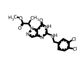 COC(=O)C(C)n1ncc2nc(NCc3ccc(Cl)c(Cl)c3)[nH]c(=O)c21